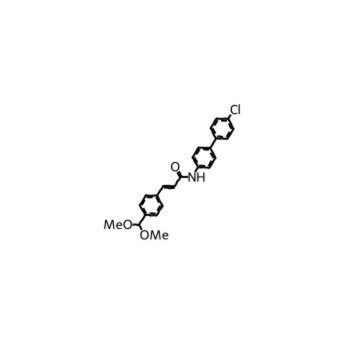 COC(OC)c1ccc(/C=C/C(=O)Nc2ccc(-c3ccc(Cl)cc3)cc2)cc1